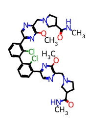 CNC(=O)C1CCN(Cc2ncc(-c3cccc(-c4cccc(-c5cnc(CN6CCC(C(=O)NC)C6)c(OC)n5)c4Cl)c3Cl)nc2OC)C1